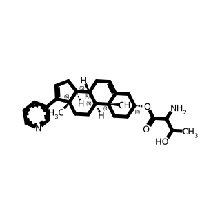 CC(O)C(N)C(=O)O[C@@H]1CC[C@@]2(C)C(=CC[C@@H]3[C@@H]2CC[C@]2(C)C(c4cccnc4)=CC[C@@H]32)C1